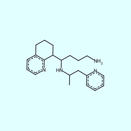 CC(Cc1ccccn1)NC(CCCN)C1CCCc2cccnc21